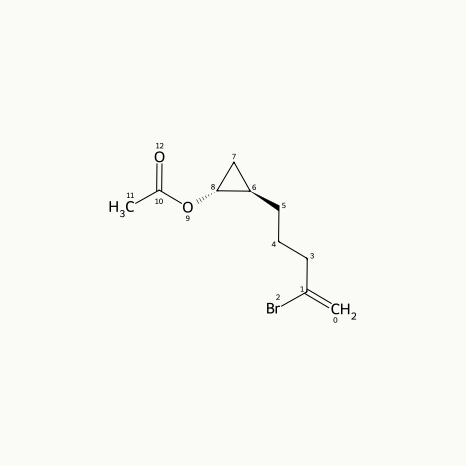 C=C(Br)CCC[C@@H]1C[C@H]1OC(C)=O